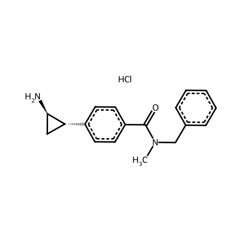 CN(Cc1ccccc1)C(=O)c1ccc([C@@H]2C[C@H]2N)cc1.Cl